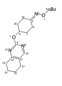 CCCCON=C1CCC(Oc2ncc3c(n2)CCCC3)CC1